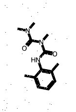 Cc1cccc(C)c1NC(=O)N(C)C(=O)N(C)C